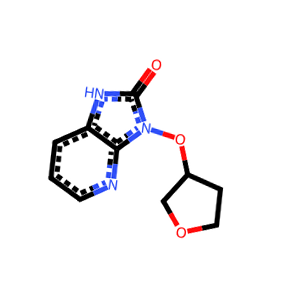 O=c1[nH]c2cccnc2n1OC1CCOC1